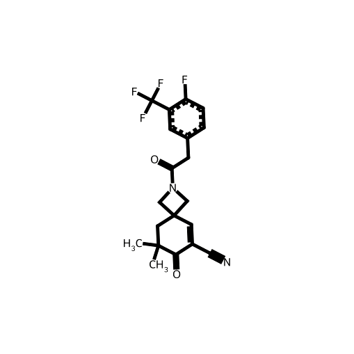 CC1(C)CC2(C=C(C#N)C1=O)CN(C(=O)Cc1ccc(F)c(C(F)(F)F)c1)C2